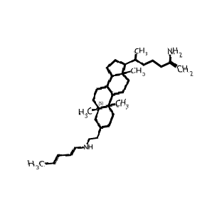 C=C(N)CCCC(C)C1CCC2C3CC[C@@]4(C)CC(CCNCCCCC)CCC4(C)C3CCC12C